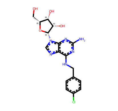 Nc1nc(NCc2ccc(Cl)cc2)c2ncn([C@@H]3O[C@H](CO)[C@H](O)[C@@H]3O)c2n1